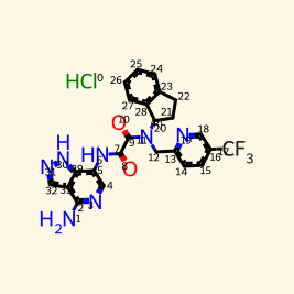 Cl.Nc1ncc(NC(=O)C(=O)N(Cc2ccc(C(F)(F)F)cn2)[C@@H]2CCc3ccccc32)c2[nH]ncc12